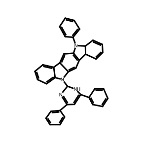 C1=CC2c3cc4c(cc3N(c3ccccc3)C2C=C1)c1ccccc1n4C1N=C(c2ccccc2)C=C(c2ccccc2)N1